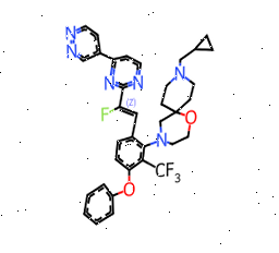 F/C(=C\c1ccc(Oc2ccccc2)c(C(F)(F)F)c1N1CCOC2(CCN(CC3CC3)CC2)C1)c1nccc(-c2ccnnc2)n1